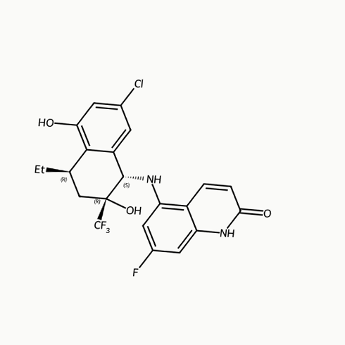 CC[C@@H]1C[C@](O)(C(F)(F)F)[C@@H](Nc2cc(F)cc3[nH]c(=O)ccc23)c2cc(Cl)cc(O)c21